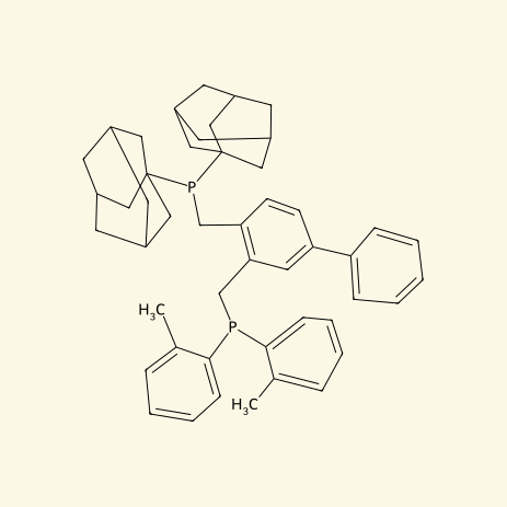 Cc1ccccc1P(Cc1cc(-c2ccccc2)ccc1CP(C12CC3CC(CC(C3)C1)C2)C12CC3CC(CC(C3)C1)C2)c1ccccc1C